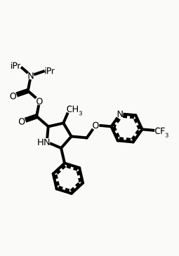 CC1C(C(=O)OC(=O)N(C(C)C)C(C)C)NC(c2ccccc2)C1COc1ccc(C(F)(F)F)cn1